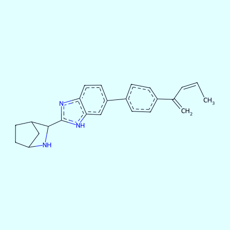 C=C(/C=C\C)c1ccc(-c2ccc3nc(C4NC5CCC4C5)[nH]c3c2)cc1